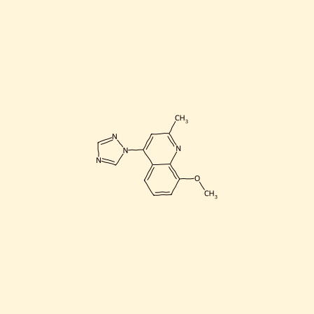 COc1cccc2c(-n3cncn3)cc(C)nc12